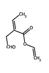 C=COC(=O)C(=CC)CC=O